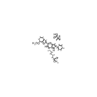 COC1CC=Cc2cc(C(=O)N[C@@H](CCCCCC(C)=O)c3ncc(-c4ccccc4)[nH]3)oc21.O=C(O)C(F)(F)F